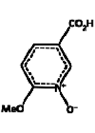 COc1ccc(C(=O)O)c[n+]1[O-]